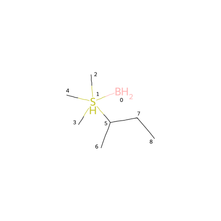 B[SH](C)(C)(C)C(C)CC